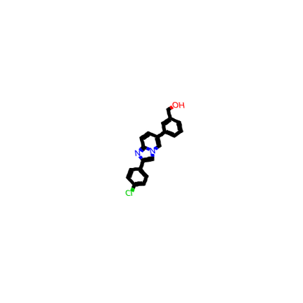 OCc1cccc(-c2ccc3nc(-c4ccc(Cl)cc4)cn3c2)c1